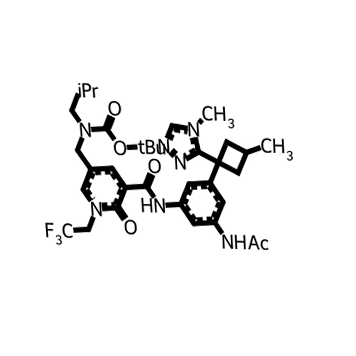 CC(=O)Nc1cc(NC(=O)c2cc(CN(CC(C)C)C(=O)OC(C)(C)C)cn(CC(F)(F)F)c2=O)cc(C2(c3nncn3C)CC(C)C2)c1